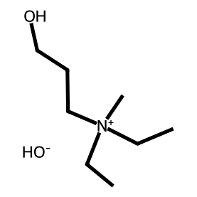 CC[N+](C)(CC)CCCO.[OH-]